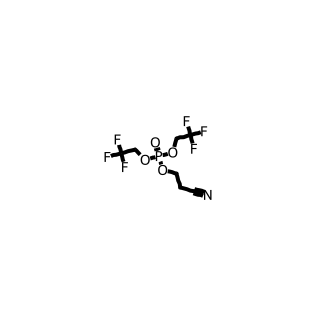 N#CCCOP(=O)(OCC(F)(F)F)OCC(F)(F)F